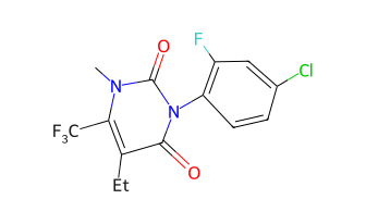 CCc1c(C(F)(F)F)n(C)c(=O)n(-c2ccc(Cl)cc2F)c1=O